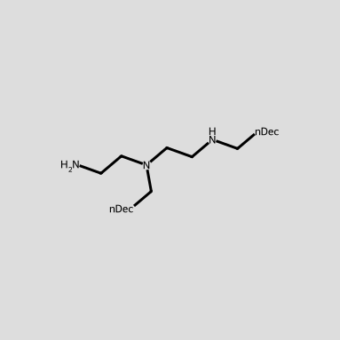 CCCCCCCCCCCNCCN(CCN)CCCCCCCCCCC